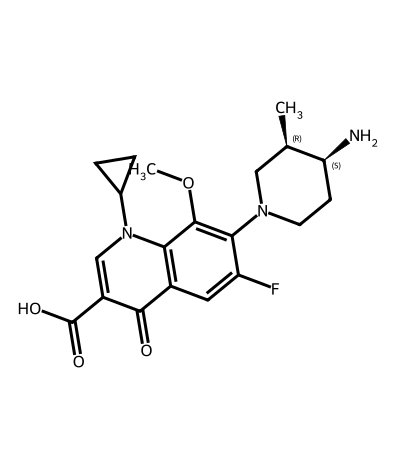 COc1c(N2CC[C@H](N)[C@H](C)C2)c(F)cc2c(=O)c(C(=O)O)cn(C3CC3)c12